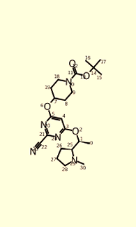 C[C@H](Oc1cc(OC2CCN(C(=O)OC(C)(C)C)CC2)nc(C#N)n1)[C@@H]1CCCN1C